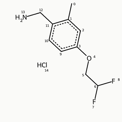 Cc1cc(OCC(F)F)ccc1CN.Cl